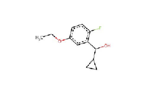 CCOc1ccc(F)c(C(O)C2CC2)c1